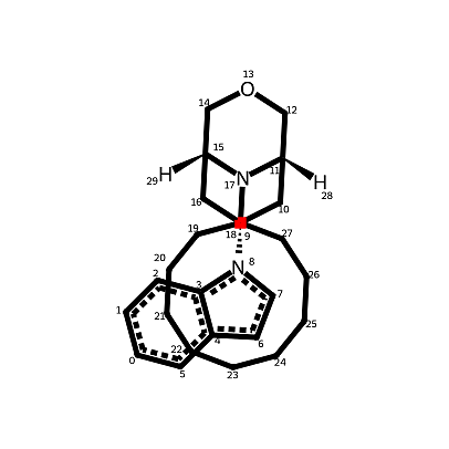 c1ccc2c(c1)ccn2[C@H]1C[C@H]2COC[C@@H](C1)N2C1CCCCCCCCC1